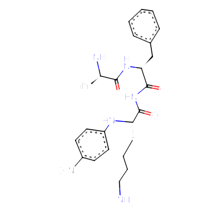 CC(C)[C@@H](N)C(=O)N[C@@H](Cc1ccccc1)C(=O)NC(=O)[C@H](CCCCN)Nc1ccc([N+](=O)[O-])cc1